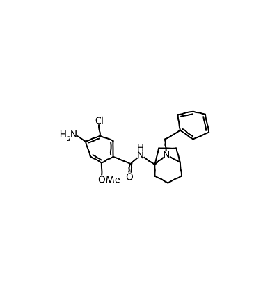 COc1cc(N)c(Cl)cc1C(=O)NC12CCCC(CC1)N2Cc1ccccc1